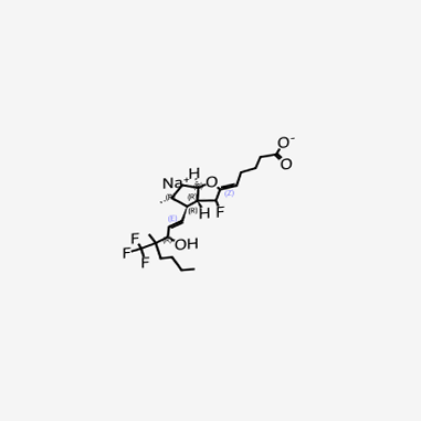 CCCCC(C)([C@H](O)/C=C/[C@@H]1[C@H]2C(F)/C(=C/CCCC(=O)[O-])O[C@@H]2C[C@H]1C)C(F)(F)F.[Na+]